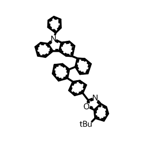 CC(C)(C)c1cccc2nc(-c3ccc(-c4ccccc4-c4ccccc4-c4ccc5c(c4)c4ccccc4n5-c4ccccc4)cc3)oc12